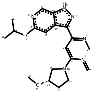 C=N/C(=C\C(=N/C)c1n[nH]c2cnc(OC(C)C)cc12)N1CC[C@H](OC)C1